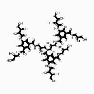 O=C(NCC(O)CO)c1c(I)c(NC(=O)C(O)C(O)CO)c(I)c(C(=O)NCC(O)CN(CC(O)CNC(=O)c2c(I)c(NC(=O)C(O)C(O)CO)c(I)c(C(=O)NCC(O)CO)c2I)C(=O)c2c(I)c(NC(=O)C(O)C(O)CO)c(I)c(C(=O)NCC(O)CO)c2I)c1I